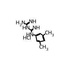 Cc1cc(C)cc(NC(=N)NC(=N)N)c1.Cl